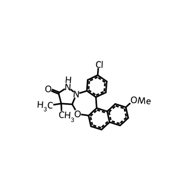 COc1ccc2ccc3c(c2c1)-c1ccc(Cl)cc1N1NC(=O)C(C)(C)C1O3